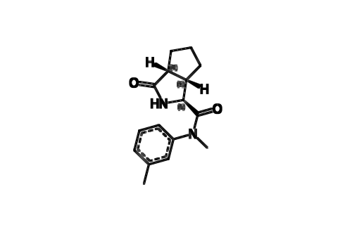 Cc1cccc(N(C)C(=O)[C@H]2NC(=O)[C@@H]3CCC[C@H]23)c1